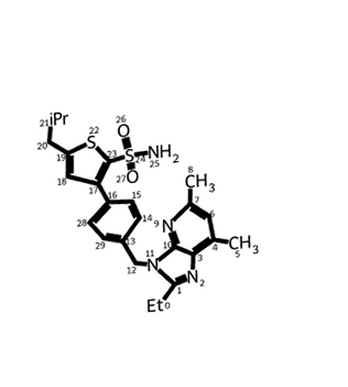 CCc1nc2c(C)cc(C)nc2n1Cc1ccc(-c2cc(CC(C)C)sc2S(N)(=O)=O)cc1